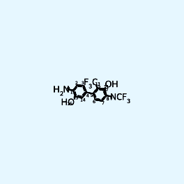 Nc1ccc(-c2ccc(NC(F)(F)F)c(O)c2C(F)(F)F)cc1O